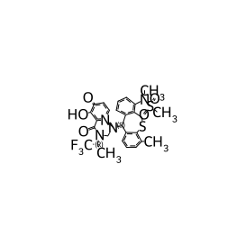 Cc1cccc2c1SCc1c(cccc1N(C)S(C)(=O)=O)[C@@H]2N1CN([C@H](C)C(F)(F)F)C(=O)c2c(O)c(=O)ccn21